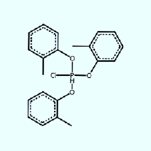 Cc1ccccc1O[PH](Cl)(Oc1ccccc1C)Oc1ccccc1C